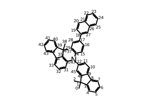 CC1(C)c2ccccc2-c2ccc(N(c3ccc(-c4ccc5ccccc5c4)cc3)c3cccc4c3C(C)(C)c3ccccc3-4)cc21